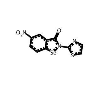 O=c1c2cc([N+](=O)[O-])ccc2[se]n1-c1nccs1